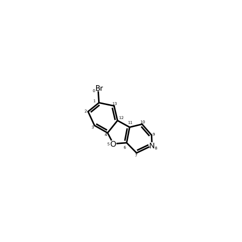 Brc1ccc2oc3cnccc3c2c1